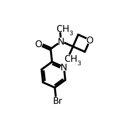 CN(C(=O)c1ccc(Br)cn1)C1(C)COC1